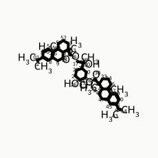 CC(C)c1ccc2c(c1)CCC1C(C)(C(=O)OCC(C)(O)C3CCC(C)(O)C(OC(=O)C4(C)CCCC5(C)c6ccc(C(C)C)cc6CCC45)C3)CCCC21C